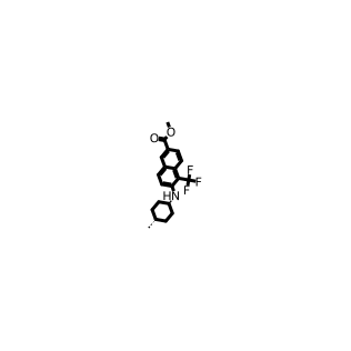 COC(=O)c1ccc2c(C(F)(F)F)c(N[C@H]3CC[C@@H](C)CC3)ccc2c1